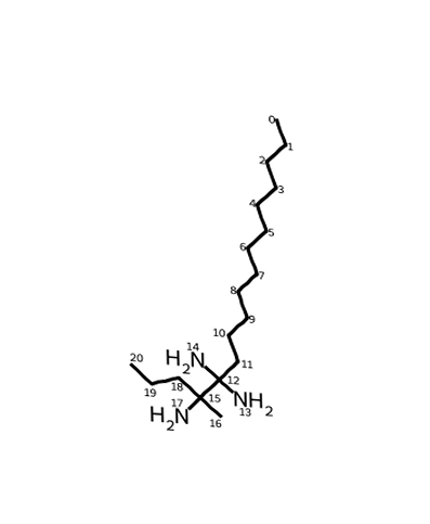 CCCCCCCCCCCCC(N)(N)C(C)(N)CCC